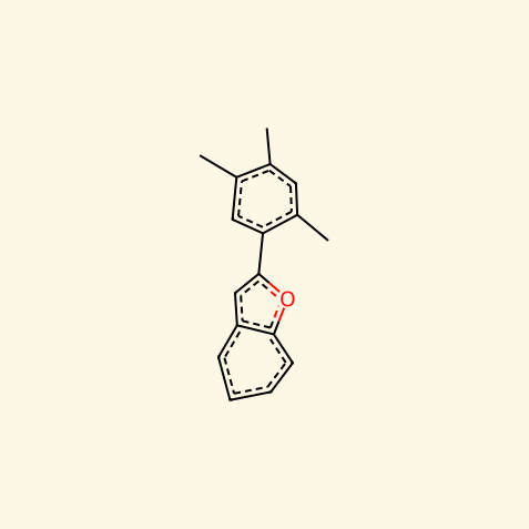 Cc1cc(C)c(-c2cc3ccccc3o2)cc1C